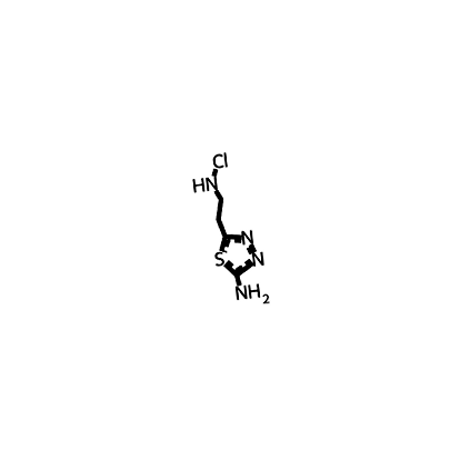 Nc1nnc(CCNCl)s1